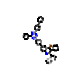 c1ccc(-c2ccc(-c3nc(-c4ccccc4)nc(-c4ccc(-c5ccc6nc(-c7cccc8ccccc78)c7c8ccccc8sc7c6c5)cc4)n3)cc2)cc1